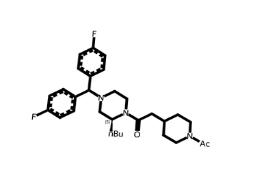 CCCC[C@H]1CN(C(c2ccc(F)cc2)c2ccc(F)cc2)CCN1C(=O)CC1CCN(C(C)=O)CC1